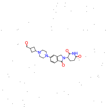 O=CC1CC(N2CCN(c3ccc4c(c3)CN(C3CCC(=O)NC3=O)C4=O)CC2)C1